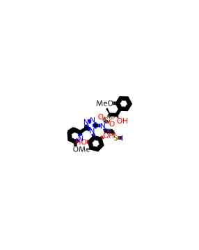 COc1cc#cc(-c2nnc(N(/C=C/SI)S(=O)(=O)[C@@H](C)[C@H](O)c3ccccc3OC)n2-c2c(O)cccc2O)n1